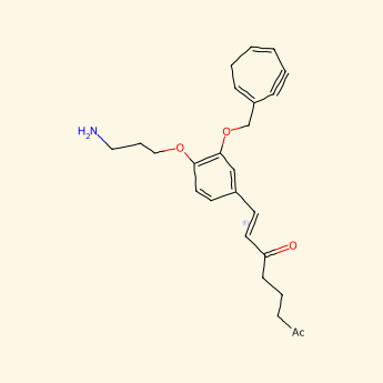 CC(=O)CCCC(=O)/C=C/c1ccc(OCCCN)c(OCC2=CCC=CC#C2)c1